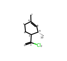 C=C(Cl)C1CCC(C)=C[C@@H]1C